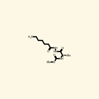 CCCC[C@@H](NC(=O)OC(C)(C)C)C(=O)NNC(=O)CCCCCN